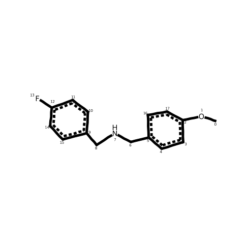 COc1ccc(CNCc2ccc(F)cc2)cc1